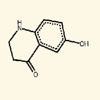 O=C1CCNc2ccc(O)cc21